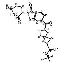 CC(C)(C)OC(=O)N1CC2(CCN(C(=O)c3ccc4c(c3)CN(C3CCC(=O)NC3=O)C4=O)C2)C1